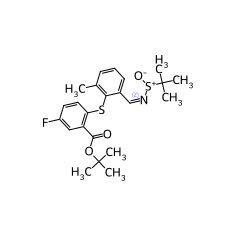 Cc1cccc(/C=N\[S+]([O-])C(C)(C)C)c1Sc1ccc(F)cc1C(=O)OC(C)(C)C